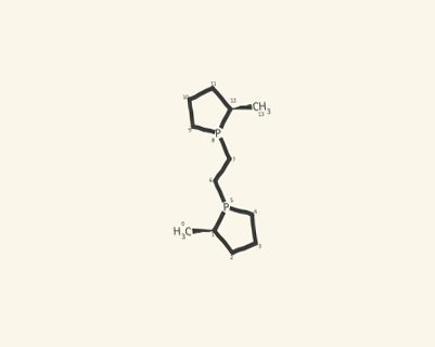 C[C@@H]1CCCP1CCP1CCC[C@H]1C